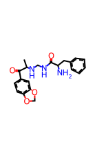 CC(NCNC(=O)C(N)Cc1ccccc1)C(=O)c1ccc2c(c1)OCO2